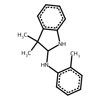 Cc1ccccc1NC1Nc2ccccc2C1(C)C